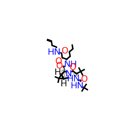 C=CCCNC(=O)C(=O)C(CCCC)NC(=O)[C@@H]1[C@@H]2[C@H](CN1C(=O)[C@@H](NC(=O)NC(C)(C)C)C(C)(C)C)C2(C)C